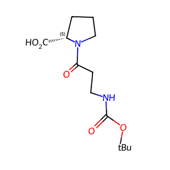 CC(C)(C)OC(=O)NCCC(=O)N1CCC[C@H]1C(=O)O